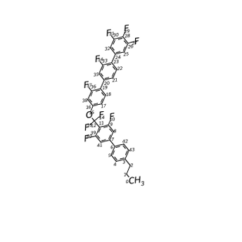 CCCc1ccc(-c2cc(F)c(C(F)(F)Oc3ccc(-c4ccc(-c5cc(F)c(F)c(F)c5)c(F)c4)c(F)c3)c(F)c2)cc1